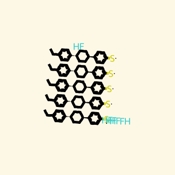 CCc1ccc([C@H]2CC[C@H](c3ccc([S])cc3)CC2)cc1.CCc1ccc([C@H]2CC[C@H](c3ccc([S])cc3)CC2)cc1.CCc1ccc([C@H]2CC[C@H](c3ccc([S])cc3)CC2)cc1.CCc1ccc([C@H]2CC[C@H](c3ccc([S])cc3)CC2)cc1.CCc1ccc([C@H]2CC[C@H](c3ccc([S])cc3)CC2)cc1.F.F.F.F.F